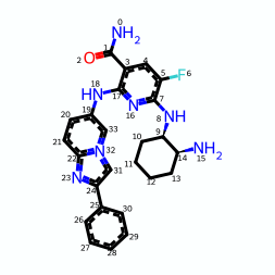 NC(=O)c1cc(F)c(N[C@@H]2CCCC[C@@H]2N)nc1Nc1ccc2nc(-c3ccccc3)cn2c1